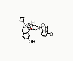 O=C(c1cccc(=O)[nH]1)N1C[C@H]2CC34CCC1C2C31CCN(C2CCC2)C4Cc2ccc(O)cc21